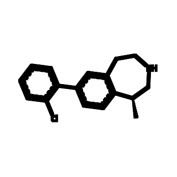 C[C@H]1CNCCc2cc(-c3ccccc3Cl)ccc21